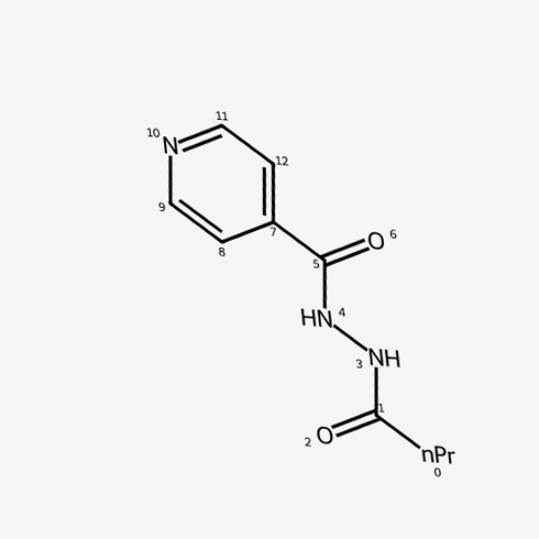 CCCC(=O)NNC(=O)c1ccncc1